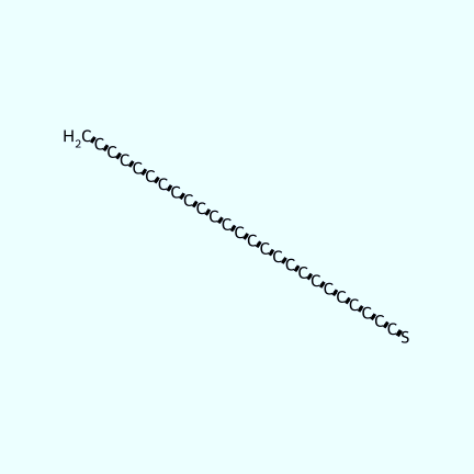 C=C=C=C=C=C=C=C=C=C=C=C=C=C=C=C=C=C=C=C=C=C=C=C=C=S